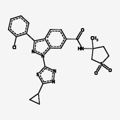 CC1(NC(=O)c2ccc3c(-c4ccccc4Cl)nn(-c4nnc(C5CC5)s4)c3c2)CCS(=O)(=O)C1